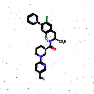 O=C(N[C@@H](Cc1cc(Cl)c(-c2ccccc2)cc1Cl)C(=O)O)[C@@H]1CCCN(c2ccc([N+](=O)[O-])cn2)C1